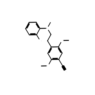 COc1cc(CCN(C)c2ccccc2O)c(OC)cc1C#N